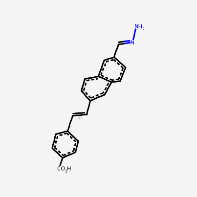 NN=Cc1ccc2cc(/C=C/c3ccc(C(=O)O)cc3)ccc2c1